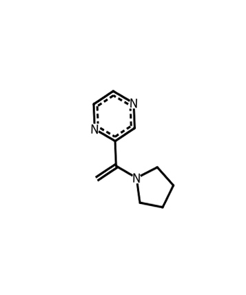 C=C(c1cnccn1)N1CCCC1